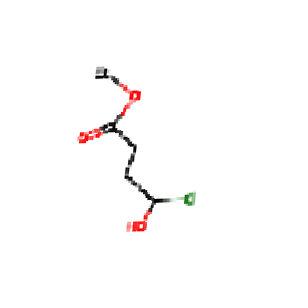 CCOC(=O)CCC(O)Cl